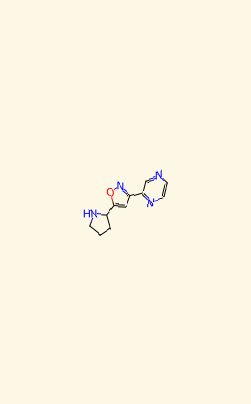 c1cnc(-c2cc(C3CCCN3)on2)cn1